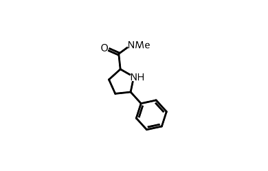 CNC(=O)C1CCC(c2ccccc2)N1